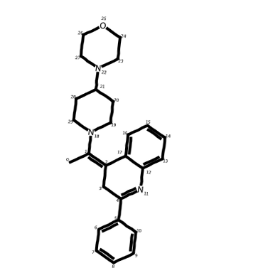 CC(=C1CC(c2ccccc2)=Nc2ccccc21)N1CCC(N2CCOCC2)CC1